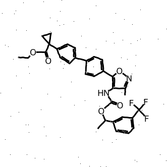 CCOC(=O)C1(c2ccc(-c3ccc(-c4onc(C)c4NC(=O)OC(C)c4cccc(C(F)(F)F)c4)cc3)cc2)CC1